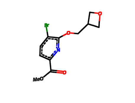 COC(=O)c1ccc(Br)c(OCC2COC2)n1